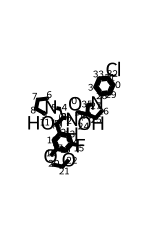 O=C(N[C@H](CN1CCCC1)[C@H](O)c1cc(F)c2c(c1)OCCO2)[C@@]1(O)CCN(c2ccc(Cl)cc2)C1